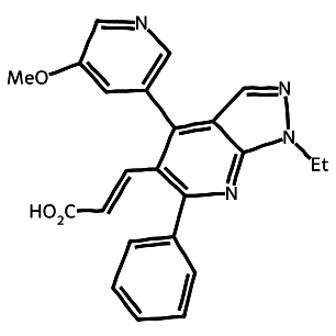 CCn1ncc2c(-c3cncc(OC)c3)c(C=CC(=O)O)c(-c3ccccc3)nc21